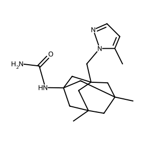 Cc1ccnn1CC12CC3(C)CC(C)(C1)CC(NC(N)=O)(C3)C2